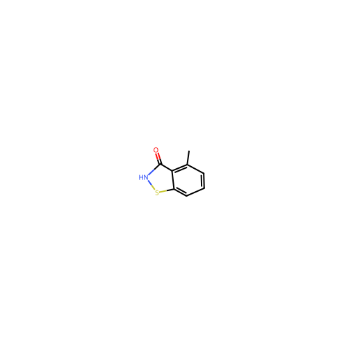 Cc1cccc2s[nH]c(=O)c12